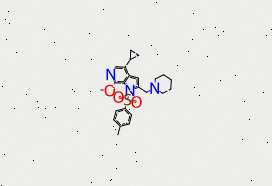 COc1ncc(C2CC2)c2cc(CN3CCCCC3)n(S(=O)(=O)c3ccc(C)cc3)c12